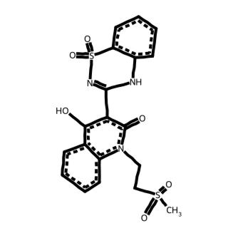 CS(=O)(=O)CCn1c(=O)c(C2=NS(=O)(=O)c3ccccc3N2)c(O)c2ccccc21